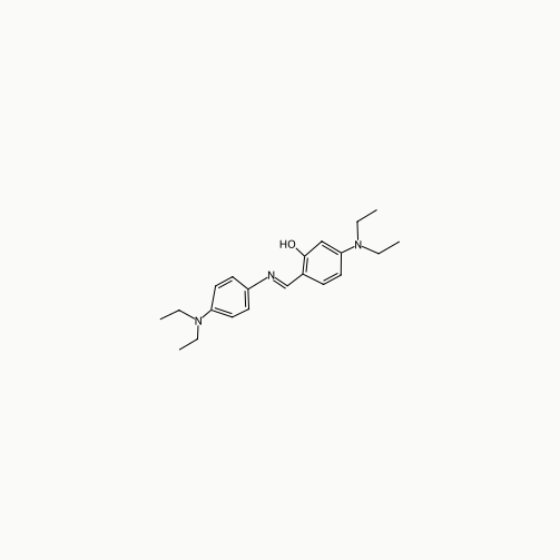 CCN(CC)c1ccc(N=Cc2ccc(N(CC)CC)cc2O)cc1